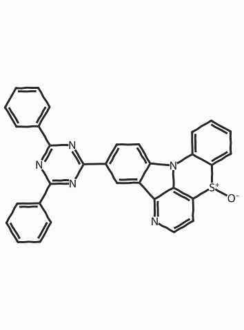 [O-][S+]1c2ccccc2-n2c3ccc(-c4nc(-c5ccccc5)nc(-c5ccccc5)n4)cc3c3nccc1c32